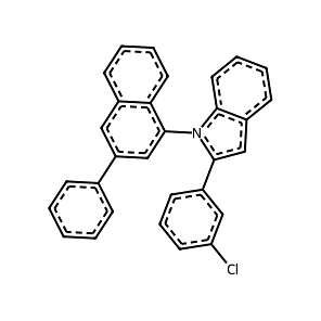 Clc1cccc(-c2cc3ccccc3n2-c2cc(-c3ccccc3)cc3ccccc23)c1